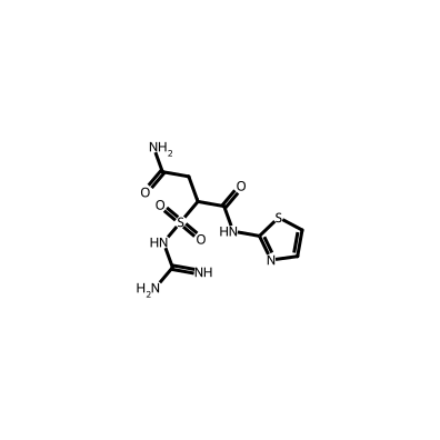 N=C(N)NS(=O)(=O)[C](CC(N)=O)C(=O)Nc1nccs1